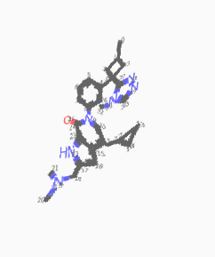 CC1CC(c2cccc(-n3cc(C4CC4)c4cc(CN(C)C)[nH]c4c3=O)c2)(c2nncn2C)C1